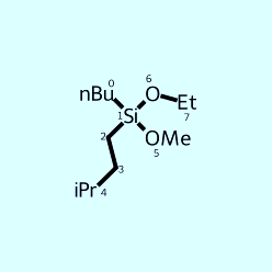 CCCC[Si](CCC(C)C)(OC)OCC